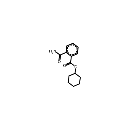 NC(=O)c1ccccc1C(=O)OC1CCCCC1